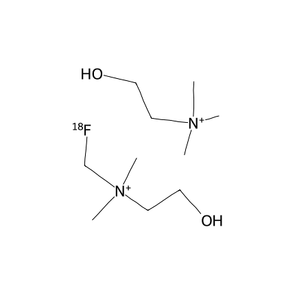 C[N+](C)(C)CCO.C[N+](C)(C[18F])CCO